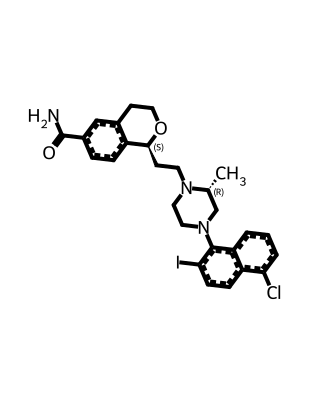 C[C@@H]1CN(c2c(I)ccc3c(Cl)cccc23)CCN1CC[C@@H]1OCCc2cc(C(N)=O)ccc21